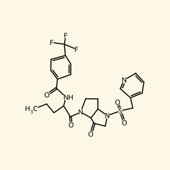 CCCC(NC(=O)c1ccc(C(F)(F)F)cc1)C(=O)N1CCC2C1C(=O)CN2S(=O)(=O)Cc1cccnc1